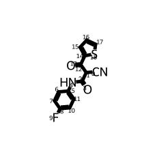 N#CC(C(=O)Nc1ccc(F)cc1)C(=O)c1cccs1